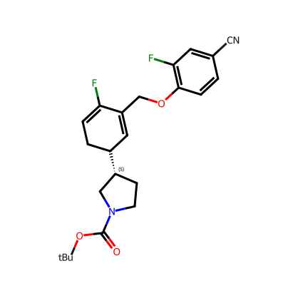 CC(C)(C)OC(=O)N1CC[C@@H](C2C=C(COc3ccc(C#N)cc3F)C(F)=CC2)C1